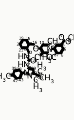 COC(=O)c1ccc(C)c(-n2c(C)cc(OCc3ccccc3CNC(=O)Nc3cc(C(C)(C)C)nn3-c3ccc(C)cc3)c(Cl)c2=O)c1